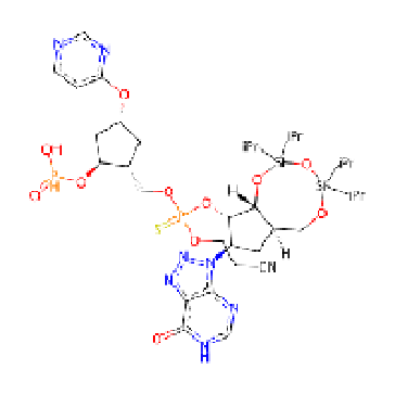 CC(C)[Si]1(C(C)C)OC[C@H]2C[C@@H](n3nnc4c(=O)[nH]cnc43)[C@H](OP(=S)(OCCC#N)OC[C@H]3C[C@@H](Oc4ccncn4)C[C@@H]3O[PH](=O)O)[C@@H]2O[Si](C(C)C)(C(C)C)O1